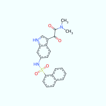 CN(C)C(=O)C(=O)c1c[nH]c2cc(NS(=O)(=O)c3cccc4ccccc34)ccc12